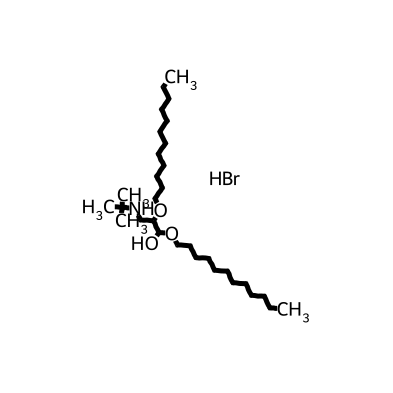 Br.CCCCCCCCCCCCOC(O)C(CNC(C)(C)C)OCCCCCCCCCCCC